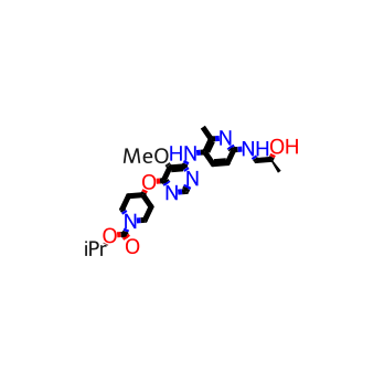 COc1c(Nc2ccc(NC[C@H](C)O)nc2C)ncnc1OC1CCN(C(=O)OC(C)C)CC1